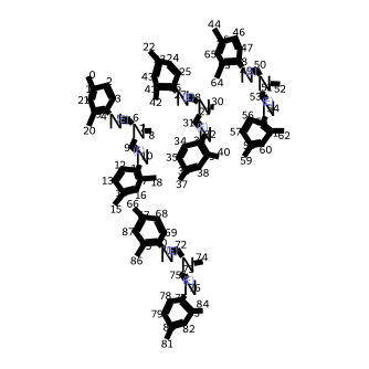 Cc1ccc(/N=C/N(C)/C=N/c2ccc(C)cc2C)c(C)c1.Cc1ccc(/N=C/N(C)/C=N/c2ccc(C)cc2C)c(C)c1.Cc1ccc(/N=C/N(C)/C=N/c2ccc(C)cc2C)c(C)c1.Cc1ccc(/N=C/N(C)/C=N/c2ccc(C)cc2C)c(C)c1